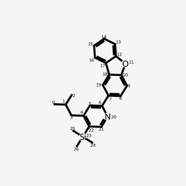 CC(C)Cc1cc(-c2ccc3oc4ccccc4c3c2)ncc1[Si](C)(C)C